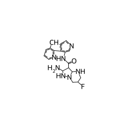 Cc1cccnc1-c1ccncc1NC(=O)C1C(N)NN2CC(F)CNC12